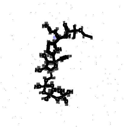 CCOC(C)(C)C(=O)N/C(=N/C=N)c1ccc([C@]2(C#N)O[C@H](COP(=O)(O)OP(=O)(O)OP(=O)(O)O)[C@@H](O)[C@H]2O)[nH]1